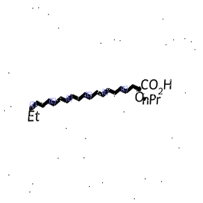 CC/C=C\C/C=C/C/C=C/C/C=C/C/C=C/C/C=C/CC(OCCC)C(=O)O